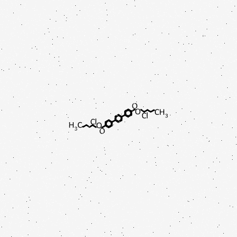 CCCC[C@H](Cl)COC(=O)c1ccc(-c2ccc(-c3ccc(C(=O)OC[C@@H](Cl)CCCC)cc3)cc2)cc1